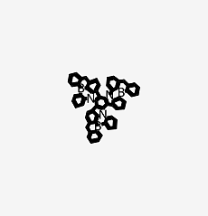 c1ccc2c(c1)Cc1cccc3c1B2c1cccc2c4c(c5c6ccc7c8c6n(c5c5c6ccc9c%10c6n(c45)-c4ccccc4B%10c4ccccc4C9)-c4ccccc4B8c4ccccc4C7)n-3c12